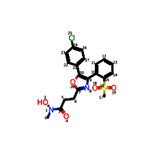 CN(O)C(=O)CCc1nc(-c2ccccc2S(C)(=O)=O)c(-c2ccc(Cl)cc2)o1